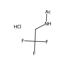 CC(=O)NCC(F)(F)F.Cl